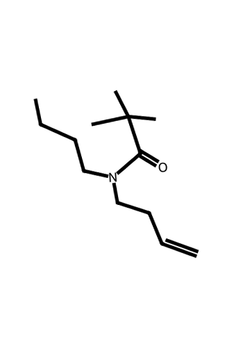 C=CCCN(CCCC)C(=O)C(C)(C)C